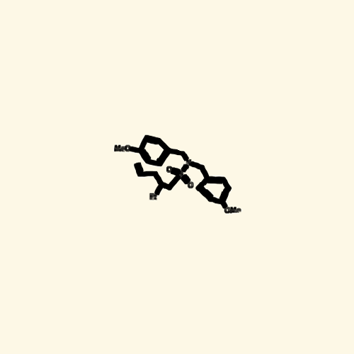 C=CCC(CC)CS(=O)(=O)N(Cc1ccc(OC)cc1)Cc1ccc(OC)cc1